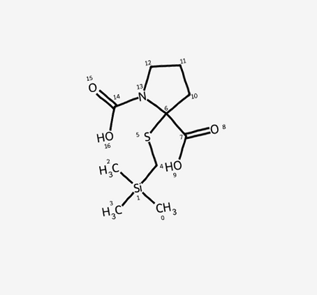 C[Si](C)(C)CSC1(C(=O)O)CCCN1C(=O)O